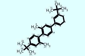 Cc1cc(C2=CCCC(C(C)(C)C)=C2)ccc1-c1ccc(C(C)(C)C)cc1C